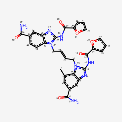 Cc1cc(C(N)=O)cc2nc(NC(=O)c3ccco3)n(CC=CCn3c(NC(=O)c4ccco4)nc4cc(C(N)=O)ccc43)c12